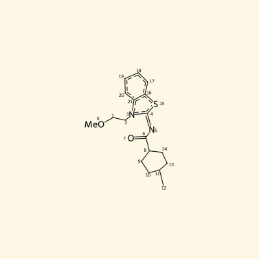 COCCn1c(=NC(=O)C2CCC(C)CC2)sc2ccccc21